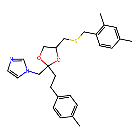 Cc1ccc(CCC2(Cn3ccnc3)OCC(CSCc3ccc(C)cc3C)O2)cc1